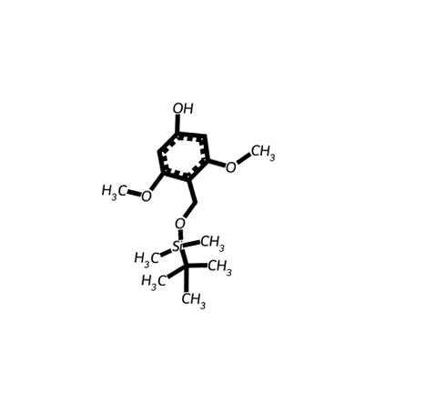 COc1cc(O)cc(OC)c1CO[Si](C)(C)C(C)(C)C